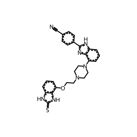 N#Cc1ccc(-c2nc3c(N4CCN(CCOc5cccc6[nH]c(=S)[nH]c56)CC4)cccc3[nH]2)cc1